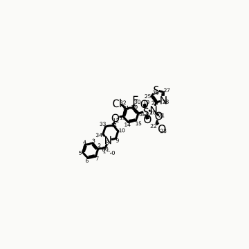 C[C@H](c1ccccc1)N1CCC(Oc2ccc(S(=O)(=O)N(OC=O)c3cscn3)c(F)c2Cl)CC1